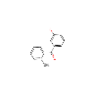 Cc1ccccc1C(=O)c1cccc(O)c1